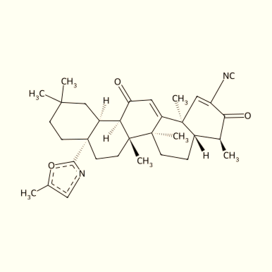 [C-]#[N+]C1=C[C@]2(C)C3=CC(=O)[C@@H]4[C@@H]5CC(C)(C)CC[C@]5(c5ncc(C)o5)CC[C@@]4(C)[C@]3(C)CC[C@H]2[C@H](C)C1=O